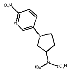 CC(C)(C)N(C(=O)O)C1CCN(c2ccc([N+](=O)[O-])nc2)C1